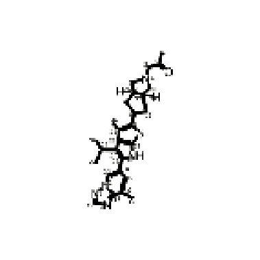 CC(=O)CN1C[C@H]2CC(c3sc4[nH]c(-c5cc(C)c6ncnn6c5)c(C(C)C)c4c3C)C[C@H]2C1